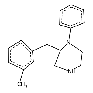 Cc1cccc(CC2CNCCN2c2ccccc2)c1